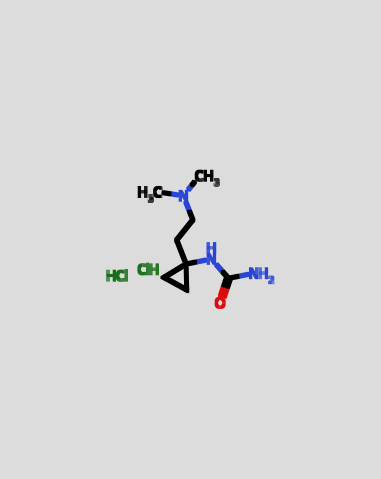 CN(C)CCC1(NC(N)=O)CC1.Cl.Cl